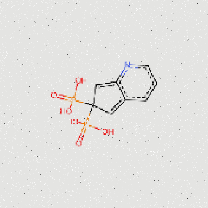 O=P(O)(O)C1(P(=O)(O)O)C=c2cccnc2=C1